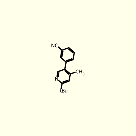 Cc1cc(C(C)(C)C)ncc1-c1cccc(C#N)c1